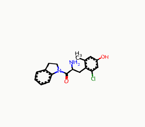 Cc1cc(O)cc(Cl)c1CC(N)C(=O)N1CCc2ccccc21